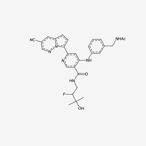 CC(=O)NCc1cccc(Nc2cc(-c3ccc4cc(C#N)cnn34)ncc2C(=O)NCC(F)C(C)(C)O)c1